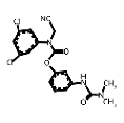 CN(C)C(=O)Nc1cccc(OC(=O)N(CC#N)c2cc(Cl)cc(Cl)c2)c1